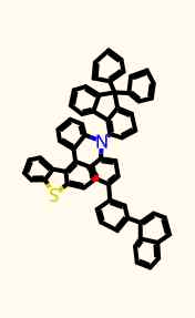 c1ccc(C2(c3ccccc3)c3ccccc3-c3c(N(c4ccc(-c5cccc(-c6cccc7ccccc67)c5)cc4)c4ccccc4-c4cccc5sc6ccccc6c45)cccc32)cc1